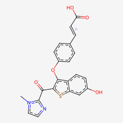 Cn1ccnc1C(=O)c1sc2cc(O)ccc2c1Oc1ccc(/C=C/C(=O)O)cc1